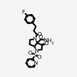 NC(=O)C12C(=O)CN(S(=O)(=O)c3ccccn3)C1CCN2C(=O)[CH]Cc1ccc(F)cc1